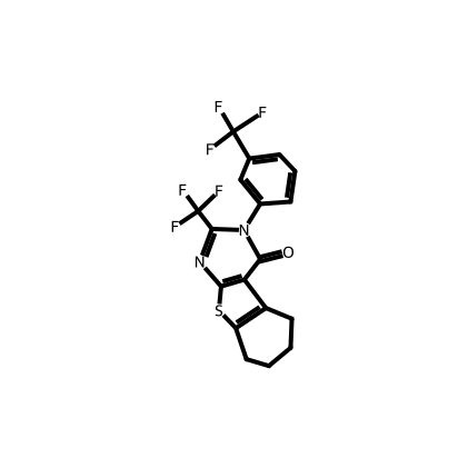 O=c1c2c3c(sc2nc(C(F)(F)F)n1-c1cccc(C(F)(F)F)c1)CCCC3